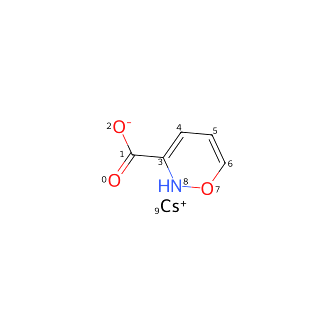 O=C([O-])C1=CC=CON1.[Cs+]